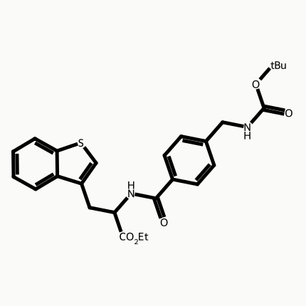 CCOC(=O)C(Cc1csc2ccccc12)NC(=O)c1ccc(CNC(=O)OC(C)(C)C)cc1